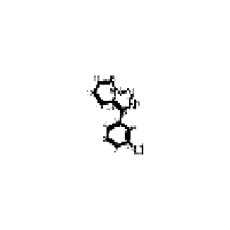 Clc1cccc(-c2nnn3ccccc23)c1